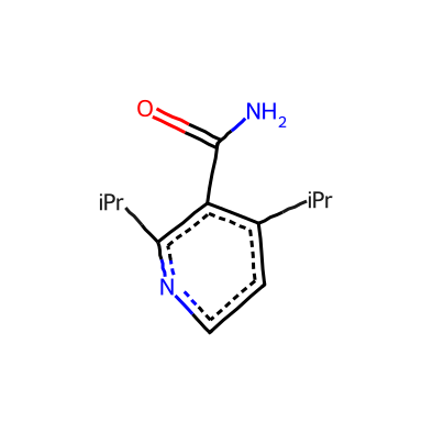 CC(C)c1ccnc(C(C)C)c1C(N)=O